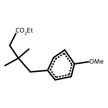 CCOC(=O)CC(C)(C)Cc1ccc(OC)cc1